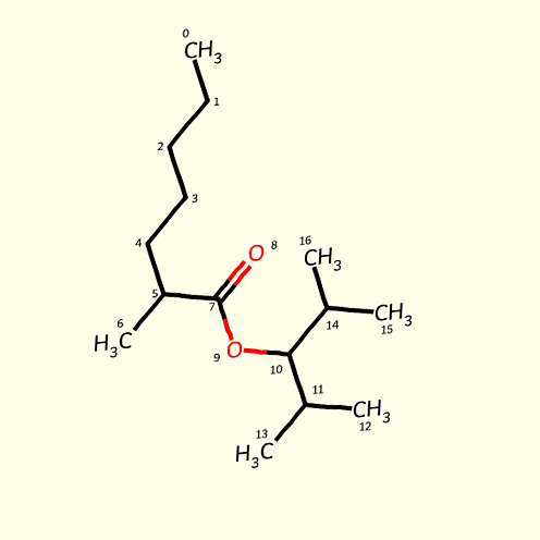 CCCCCC(C)C(=O)OC(C(C)C)C(C)C